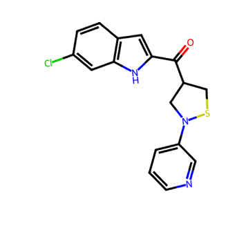 O=C(c1cc2ccc(Cl)cc2[nH]1)C1CSN(c2cccnc2)C1